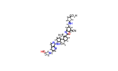 Cc1c(Nc2nccc3cc(CN4CCC(O)C4)cnc23)cccc1-c1cccc(-c2nc3cc(CN[C@H]4CC[C@H](C(=O)O)C4)cc(C#N)c3o2)c1C